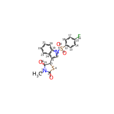 CN1C(=O)SC(c2cn(S(=O)(=O)c3ccc(F)cc3)c3ccccc23)C1=O